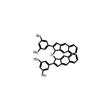 CC(C)(C)c1cc(C2=Cc3cc4ccccc4cc3[CH]2[Zr][CH]2C(c3cc(C(C)(C)C)cc(C(C)(C)C)c3)=Cc3cc4ccccc4cc32)cc(C(C)(C)C)c1